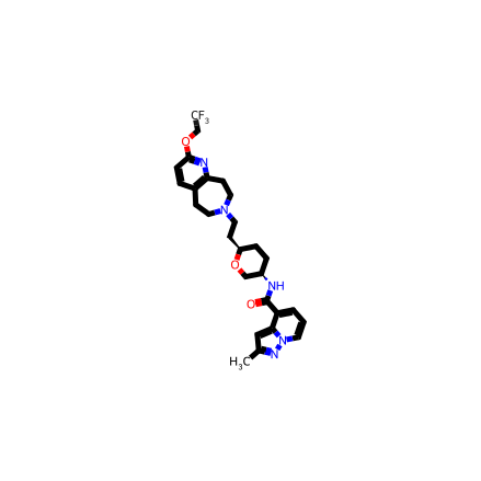 Cc1cc2c(C(=O)N[C@H]3CC[C@H](CCN4CCc5ccc(OCC(F)(F)F)nc5CC4)OC3)cccn2n1